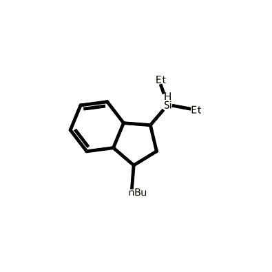 CCCCC1CC([SiH](CC)CC)C2C=CC=CC12